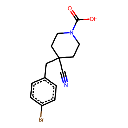 N#CC1(Cc2ccc(Br)cc2)CCN(C(=O)O)CC1